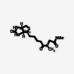 CNC(=O)CN(C)C(=O)CCCC[C@@H]1SC[C@@H]2NC(=O)N[C@@H]21